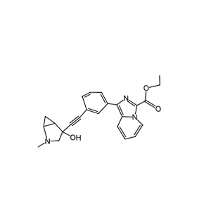 CCOC(=O)c1nc(-c2cccc(C#CC3(O)CN(C)C4CC43)c2)c2ccccn12